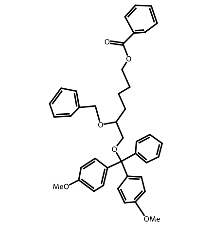 COc1ccc(C(OCC(CCCCOC(=O)c2ccccc2)OCc2ccccc2)(c2ccccc2)c2ccc(OC)cc2)cc1